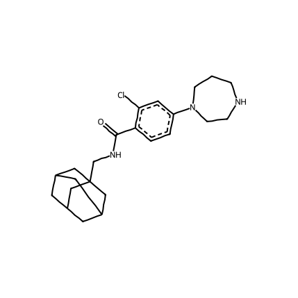 O=C(NCC12CC3CC(CC(C3)C1)C2)c1ccc(N2CCCNCC2)cc1Cl